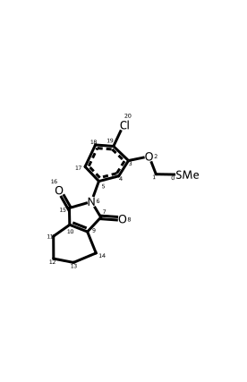 CSCOc1cc(N2C(=O)C3=C(CCCC3)C2=O)ccc1Cl